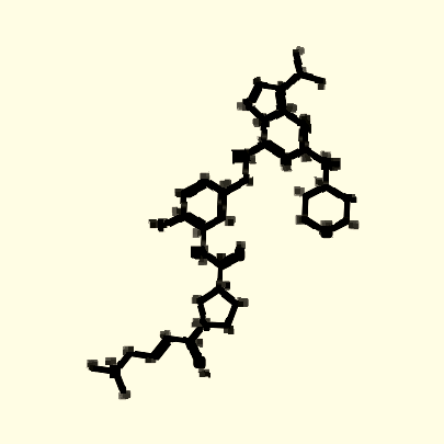 CC(C)c1cnn2c(NCc3ccc(F)c(NC(=O)C4CCN(C(=O)C=CCN(C)C)C4)c3)nc(NC3CCOCC3)nc12